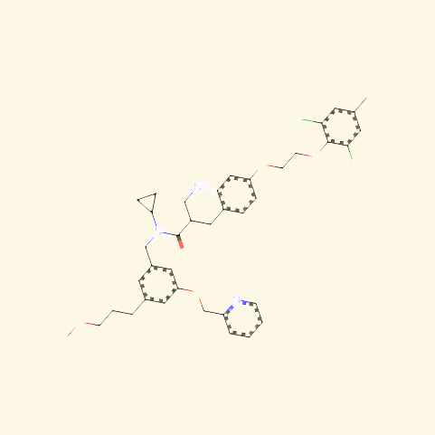 COCCCc1cc(CN(C(=O)C(CN)Cc2ccc(OCCOc3c(Cl)cc(C)cc3Cl)cc2)C2CC2)cc(OCc2ccccn2)c1